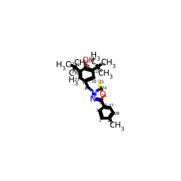 Cc1ccc(-c2nn(Cc3cc(C(C)(C)C)c(O)c(C(C)(C)C)c3)c(=S)o2)cc1